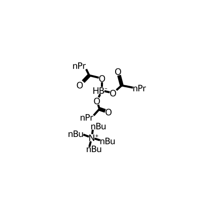 CCCC(=O)O[BH-](OC(=O)CCC)OC(=O)CCC.CCCC[N+](CCCC)(CCCC)CCCC